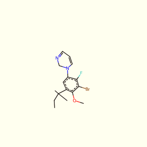 CCC(C)(C)c1cc(N2C=CC=NC2)c(F)c(Br)c1OC